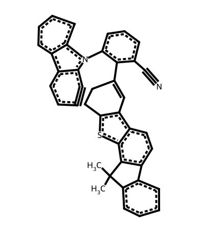 CC1(C)c2ccccc2-c2ccc3c4c(sc3c21)CCC(c1c(C#N)cccc1-n1c2c#cccc2c2ccccc21)=C4